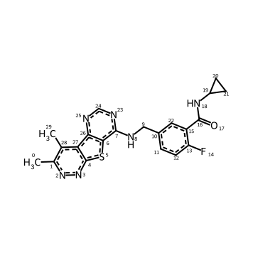 Cc1nnc2sc3c(NCc4ccc(F)c(C(=O)NC5CC5)c4)ncnc3c2c1C